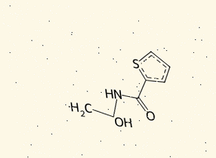 [CH2]C(O)NC(=O)c1cccs1